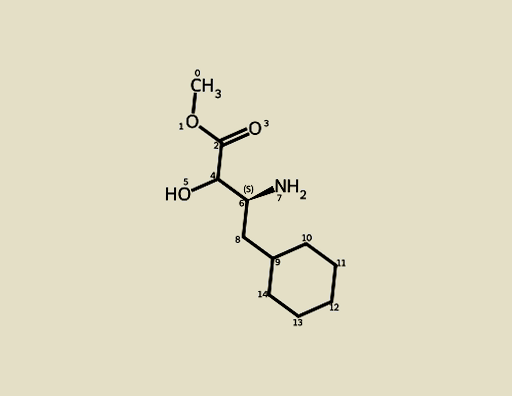 COC(=O)C(O)[C@@H](N)CC1CCCCC1